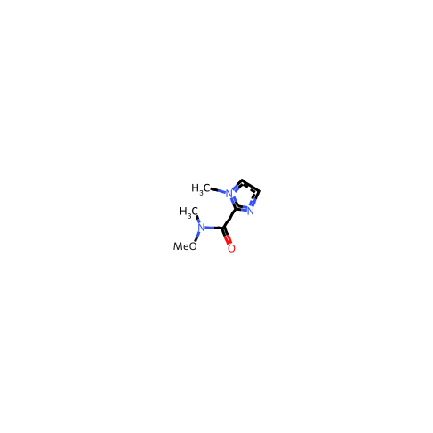 CON(C)C(=O)c1nccn1C